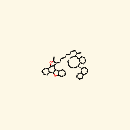 C=C(\C=C/C=C/C=C/C=c1\c(=C)oc2c3ccccc3c3oc4ccccc4c3c12)c1ccccccc(-c2cccc3ccccc23)c2ccccc12